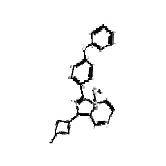 CC1CC(C2=C3C=NC=C[N+]3(N)C(c3ccc(Oc4ccccc4)cc3)=N2)C1